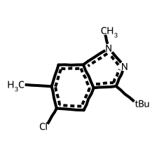 Cc1cc2c(cc1Cl)c(C(C)(C)C)nn2C